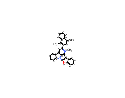 Cc1c(-c2cc3c4ccccc4n4c5oc6ccccc6c5c(c34)[n+]2C)cc(C(C)(C)C)c2ccccc12